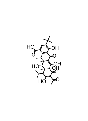 CC(=O)C1=C(O)C(C(C)C)[C@@]2(C)[C@H](O)[C@]3(C)C(=C(O)[C@@]2(O)C1=O)C(=O)c1c(O)c(C(C)(C)C)cc(C(=O)O)c1[C@H]3C